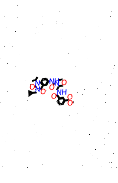 COC(=O)c1cccc(C(=O)NCC2COCCN2C(=O)Nc2ccc3c(c2)c(=O)n(CC2CC2)c(=O)n3C(C)C)c1